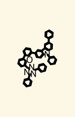 C1=CCCC(n2c3ccc(-c4ccccc4)cc3c3cc(-c4cccc5c4oc4c(-c6nc(-c7ccccc7)nc(-c7ccccc7)n6)cccc45)ccc32)=C1